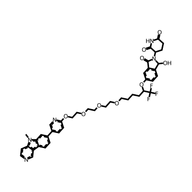 Cn1c2ccncc2c2ccc(-c3ccc(OCCOCCOCCOCCCCC(Oc4ccc5c(c4)C(=O)N(C4CCC(=O)NC4=O)C5O)C(F)(F)F)nc3)cc21